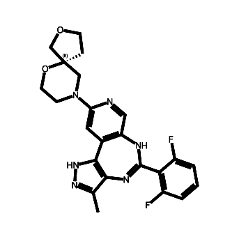 Cc1n[nH]c2c1N=C(c1c(F)cccc1F)Nc1cnc(N3CCO[C@]4(CCOC4)C3)cc1-2